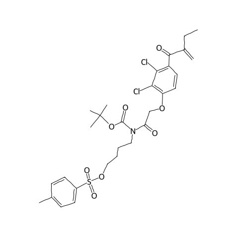 C=C(CC)C(=O)c1ccc(OCC(=O)N(CCCCOS(=O)(=O)c2ccc(C)cc2)C(=O)OC(C)(C)C)c(Cl)c1Cl